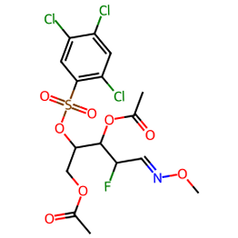 CON=CC(F)C(OC(C)=O)C(COC(C)=O)OS(=O)(=O)c1cc(Cl)c(Cl)cc1Cl